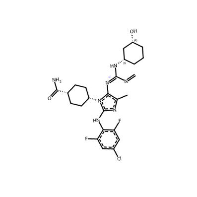 C=N/C(=N\c1c(C)nc(Nc2c(F)cc(Cl)cc2F)n1[C@H]1CC[C@@H](C(N)=O)CC1)N[C@H]1CCC[C@@H](O)C1